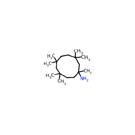 CC1(C)CCC(C)(C)CC(C)(N)CCC(C)(C)C1